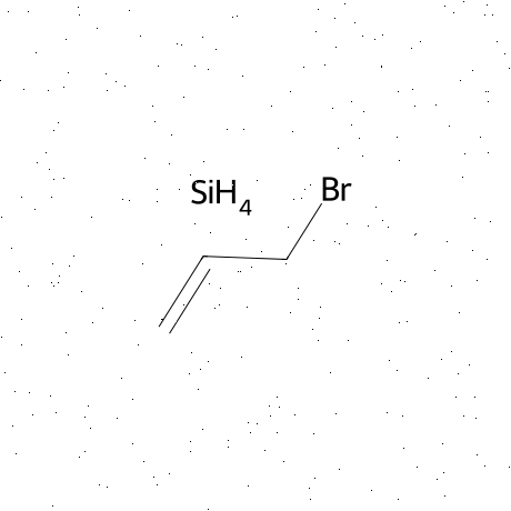 C=CCBr.[SiH4]